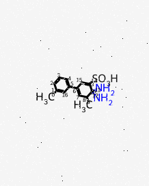 Cc1cccc(C2=CC(C)C(N)(N)C(S(=O)(=O)O)=C2)c1